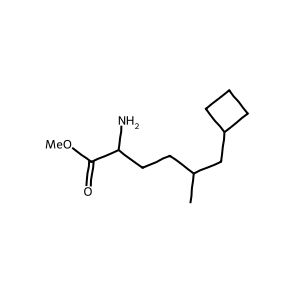 COC(=O)C(N)CCC(C)CC1CCC1